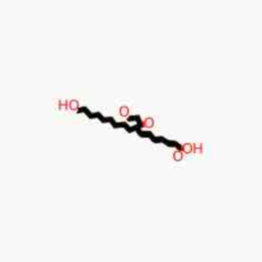 O=C(O)C=CC=CC=CCCCCCCCCCCO.O=CCC=O